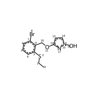 CCSc1cccc(Br)c1COc1ccn(O)n1